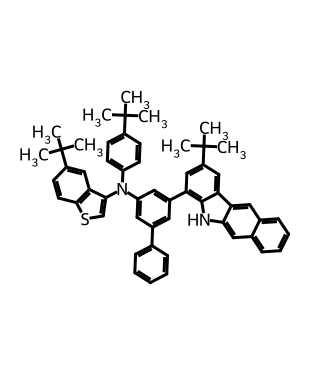 CC(C)(C)c1ccc(N(c2cc(-c3ccccc3)cc(-c3cc(C(C)(C)C)cc4c3[nH]c3cc5ccccc5cc34)c2)c2csc3ccc(C(C)(C)C)cc23)cc1